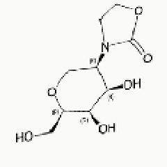 O=C1OCCN1[C@@H]1CO[C@H](CO)[C@H](O)[C@@H]1O